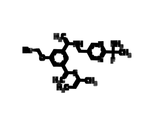 C=C(NCc1cnc(C(C)(N)F)nc1)c1cc(OC[C@H](C)CC)cc(C(=C)S/C(C)=C\C)c1